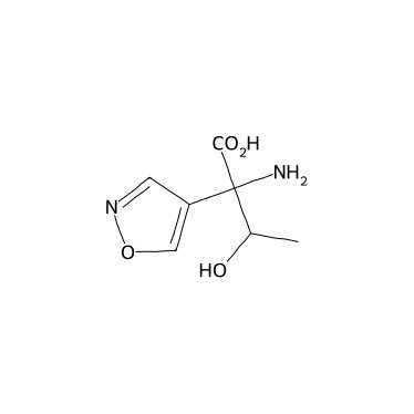 CC(O)C(N)(C(=O)O)c1cnoc1